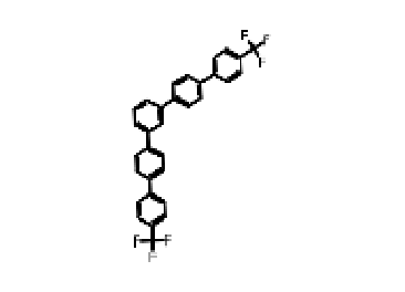 FC(F)(F)c1ccc(-c2ccc(-c3cccc(-c4ccc(-c5ccc(C(F)(F)F)cc5)cc4)c3)cc2)cc1